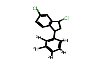 [2H]c1c([2H])c([2H])c(C2CC(Cl)c3cc(Cl)ccc32)c([2H])c1[2H]